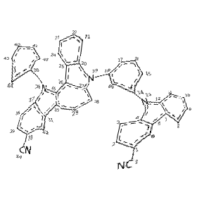 N#Cc1ccc2c(c1)c1ccccc1n2-c1cccc(-n2c3ccccc3c3c2ccc2c4cc(C#N)ccc4n(-c4ccccc4)c23)c1